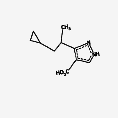 CC(CC1CC1)c1n[nH]cc1C(=O)O